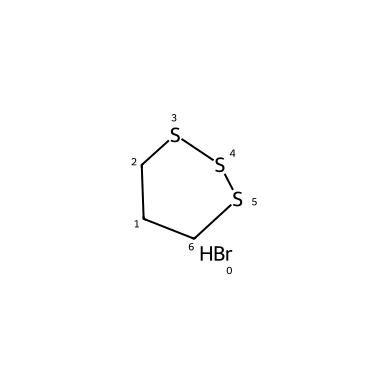 Br.C1CSSSC1